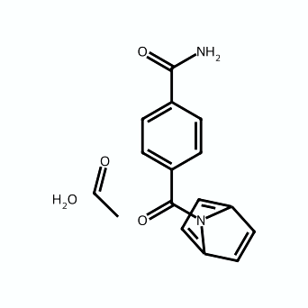 CC=O.NC(=O)c1ccc(C(=O)n2c3ccc2cc3)cc1.O